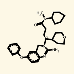 CN(C(=O)CC[C@@H](C1CCOCC1)N1Cc2cc(Oc3ccccc3)ccc2N=C1N)C1CCCCC1